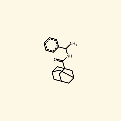 CC(NC(=O)C12CC3CC(CC(C3)C1)C2)c1ccccc1